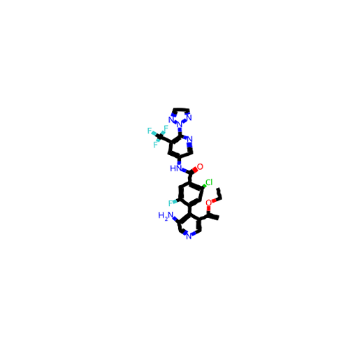 C=C(OCC)c1cncc(N)c1-c1cc(Cl)c(C(=O)Nc2cnc(-n3nccn3)c(C(F)(F)F)c2)cc1F